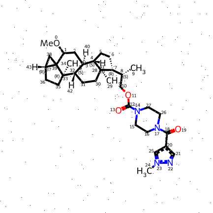 COC1C[C@H]2[C@@H]3CC[C@H]([C@H](C)COC(=O)N4CCN(C(=O)c5cnn(C)c5)CC4)[C@@]3(C)CC[C@@H]2[C@@]2(C)CC[C@@H]3CC132